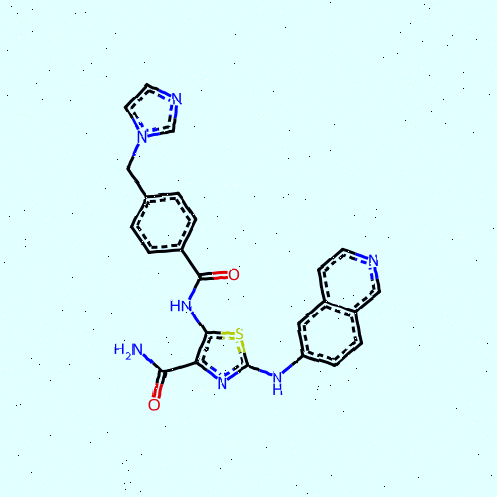 NC(=O)c1nc(Nc2ccc3cnccc3c2)sc1NC(=O)c1ccc(Cn2ccnc2)cc1